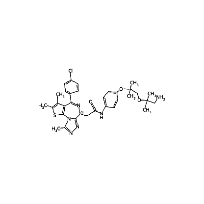 Cc1sc2c(c1C)C(c1ccc(Cl)cc1)=N[C@@H](CC(=O)Nc1ccc(OC(C)(C)COC(C)(C)CN)cc1)c1nnc(C)n1-2